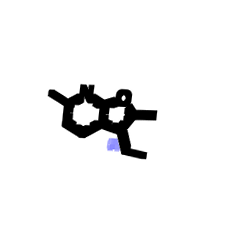 C=c1oc2nc(C)ccc2/c1=C/C